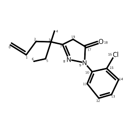 C=CCC(C)(CC)C1=NN(c2ccccc2Cl)C(=O)C1